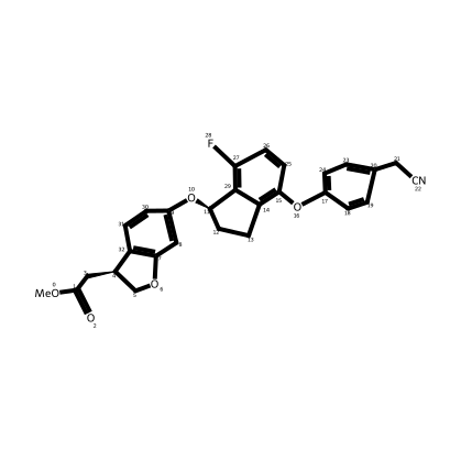 COC(=O)C[C@@H]1COc2cc(O[C@@H]3CCc4c(Oc5ccc(CC#N)cc5)ccc(F)c43)ccc21